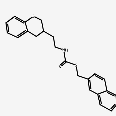 S=C(NCCC1CSc2ccccc2C1)SCc1ccc2ccccc2c1